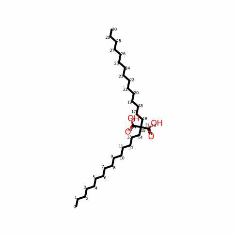 CCCCCCCCCCCCCCCC(CCCCCCCCCCCCCCC)(C(=O)O)C(=O)O